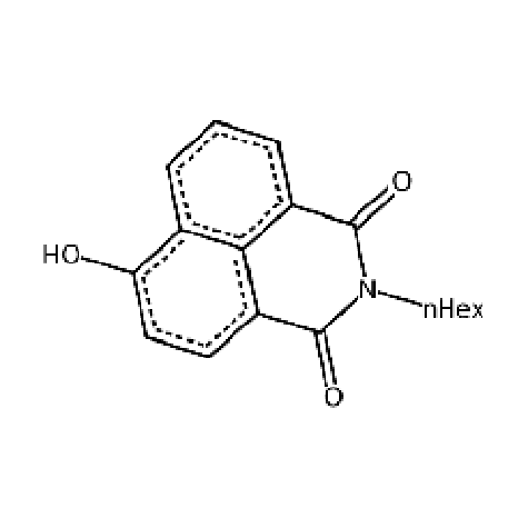 CCCCCCN1C(=O)c2cccc3c(O)ccc(c23)C1=O